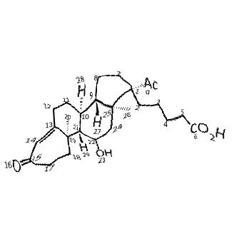 CC(=O)[C@@]1(CCCCC(=O)O)CC[C@H]2[C@@H]3CCC4=CC(=O)CC[C@]4(C)[C@H]3C(O)C[C@@]21C